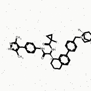 Cc1n[nH]c(C)c1-c1ccc(NC(=O)C(NC(=O)C2(F)CC2)[C@@H]2CCCc3ccc(-c4ccc(CN5C[C@H]6C[C@@H]5CO6)cc4)cc32)cc1